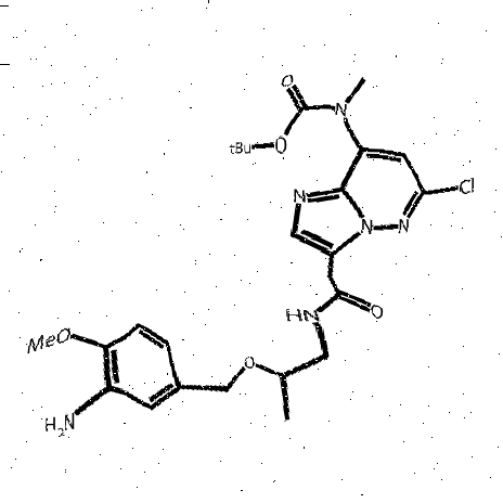 COc1ccc(COC(C)CNC(=O)c2cnc3c(N(C)C(=O)OC(C)(C)C)cc(Cl)nn23)cc1N